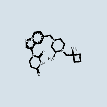 C[C@H]1CN(Cc2ccn3ncc(N4CCC(=O)NC4=O)c3c2)CCN1CC1(C)CCC1